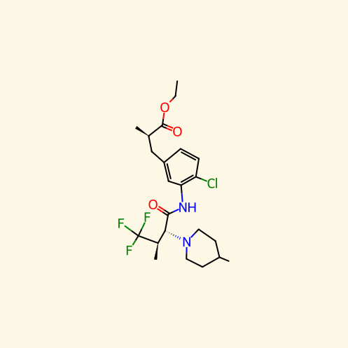 CCOC(=O)[C@H](C)Cc1ccc(Cl)c(NC(=O)[C@@H]([C@@H](C)C(F)(F)F)N2CCC(C)CC2)c1